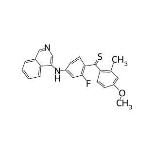 COc1ccc(C(=S)c2ccc(Nc3cncc4ccccc34)cc2F)c(C)c1